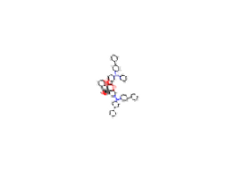 c1ccc(-c2ccc(N(c3ccc(-c4ccccc4)cc3)c3ccc4c(c3)Oc3c(oc5ccc(N(c6ccccc6)c6ccc(-c7ccccc7)cc6)cc35)C43c4ccccc4-c4ccccc43)cc2)cc1